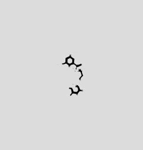 COc1c(Cl)cc(O)cc1-c1csc(CCOc2nc(F)c(C)c(F)c2F)n1